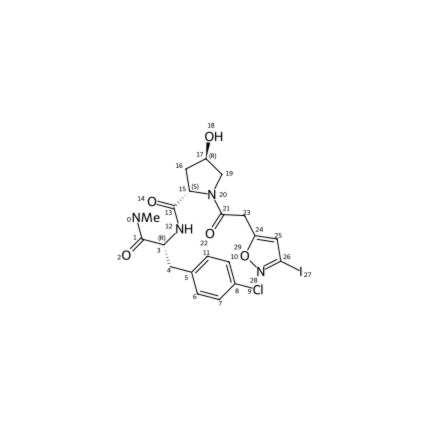 CNC(=O)[C@@H](Cc1ccc(Cl)cc1)NC(=O)[C@@H]1C[C@@H](O)CN1C(=O)Cc1cc(I)no1